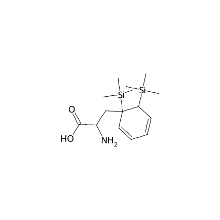 C[Si](C)(C)C1C=CC=CC1(CC(N)C(=O)O)[Si](C)(C)C